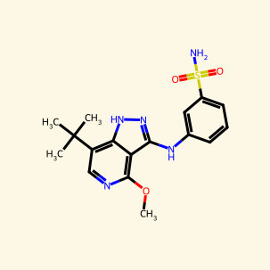 COc1ncc(C(C)(C)C)c2[nH]nc(Nc3cccc(S(N)(=O)=O)c3)c12